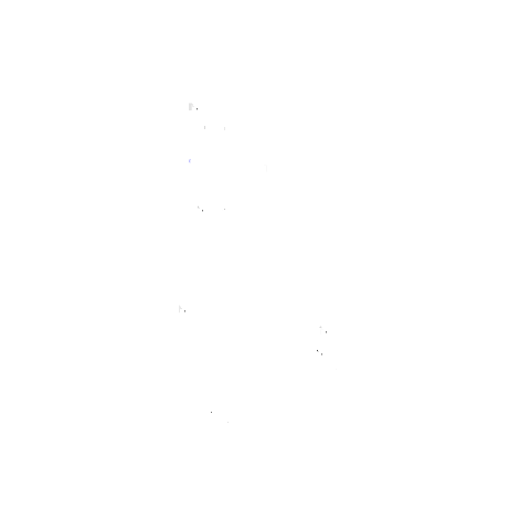 CNC(=O)/C=C/CN(CCOc1ccc(/C(=C(/CC(F)(F)F)c2ccccc2)c2ccc3c(c2)c(F)nn3C2CCCCO2)cn1)C(=O)OC(C)(C)C